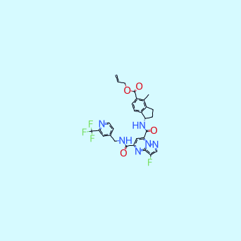 C=CCOC(=O)c1ccc2c(c1C)CC[C@@H]2NC(=O)c1cc(C(=O)NCc2ccnc(C(F)(F)F)c2)nc2c(F)cnn12